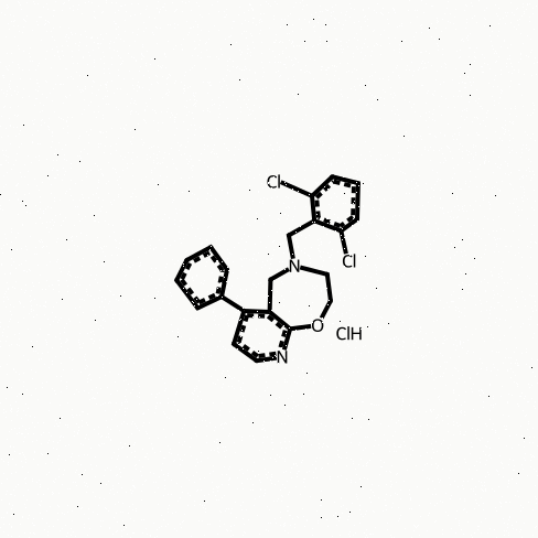 Cl.Clc1cccc(Cl)c1CN1CCOc2nccc(-c3ccccc3)c2C1